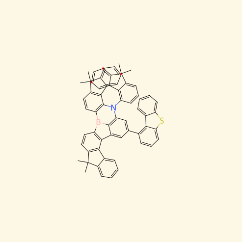 CC1(C)c2ccccc2-c2c(N3c4cc(-c5cccc6sc7ccccc7c56)cc5c4B(c4ccc6c(c4-5)-c4ccccc4C6(C)C)c4ccc5c(c43)-c3ccccc3C5(C)C)cccc21